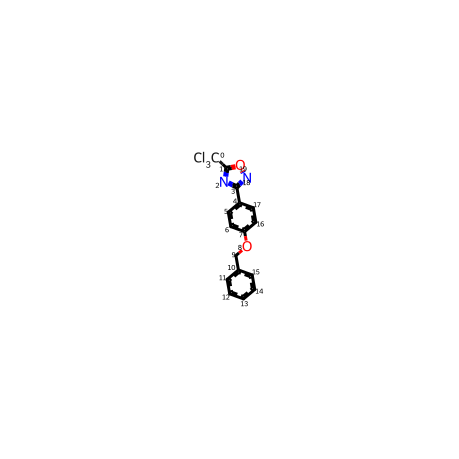 ClC(Cl)(Cl)c1nc(-c2ccc(OCc3ccccc3)cc2)no1